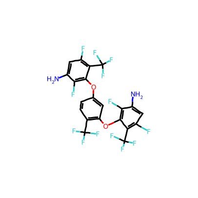 Nc1cc(F)c(C(F)(F)F)c(Oc2ccc(C(F)(F)F)c(Oc3c(F)c(N)cc(F)c3C(F)(F)F)c2)c1F